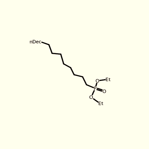 CCCCCCCCCCCCCCCCCCP(=O)(OCC)OCC